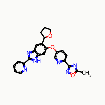 Cc1nc(-c2ccc(Oc3cc4[nH]c(-c5ccccn5)nc4cc3C3CCCO3)cn2)no1